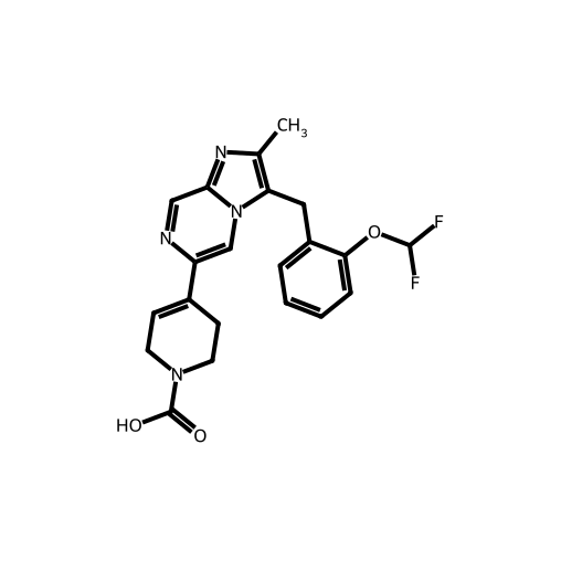 Cc1nc2cnc(C3=CCN(C(=O)O)CC3)cn2c1Cc1ccccc1OC(F)F